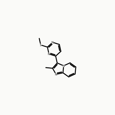 CSc1nccc(-c2c(C)nc3ccccn23)n1